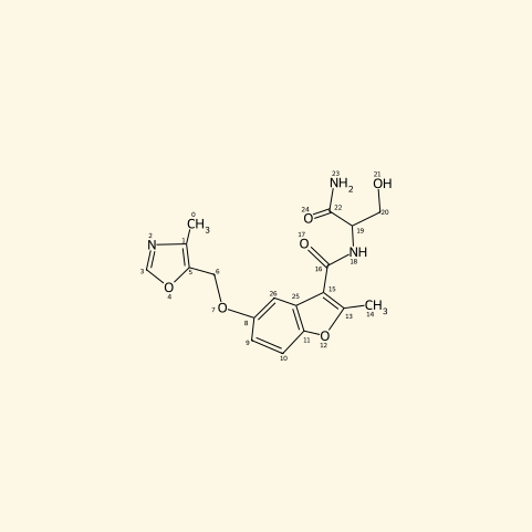 Cc1ncoc1COc1ccc2oc(C)c(C(=O)NC(CO)C(N)=O)c2c1